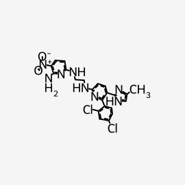 Cc1c[nH]c(-c2ccc(NCCNc3ccc([N+](=O)[O-])c(N)n3)nc2-c2ccc(Cl)cc2Cl)n1